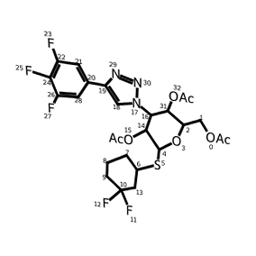 CC(=O)OCC1OC(SC2CCCC(F)(F)C2)C(OC(C)=O)C(n2cc(-c3cc(F)c(F)c(F)c3)nn2)C1OC(C)=O